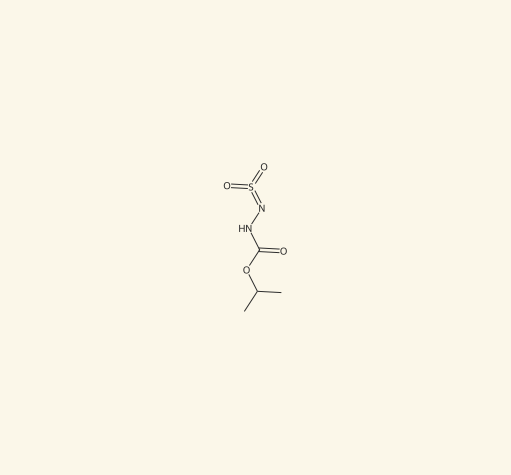 CC(C)OC(=O)NN=S(=O)=O